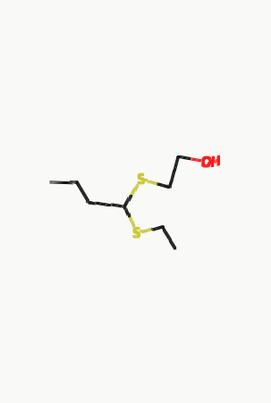 CCCC(SCC)SCCO